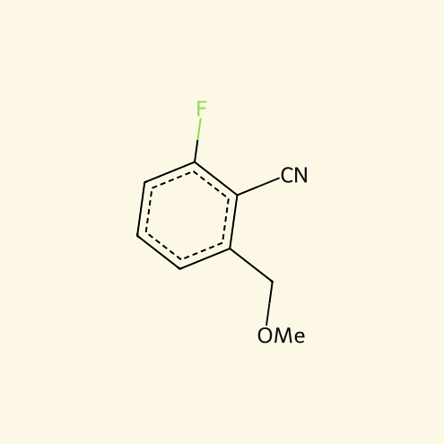 COCc1cccc(F)c1C#N